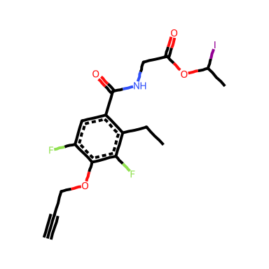 C#CCOc1c(F)cc(C(=O)NCC(=O)OC(C)I)c(CC)c1F